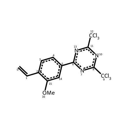 C=Cc1ccc(-c2nc(C(Cl)(Cl)Cl)nc(C(Cl)(Cl)Cl)n2)cc1OC